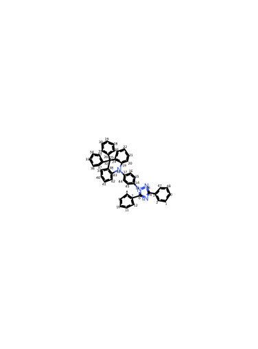 c1ccc(-c2nc(-c3ccccc3)n(-c3ccc(N4c5ccccc5C(c5ccccc5)(c5ccccc5)c5ccccc54)cc3)n2)cc1